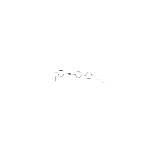 CCCCCCc1ccc(-c2ccc(C#Cc3ccc(Cl)c(F)c3)cc2)cc1